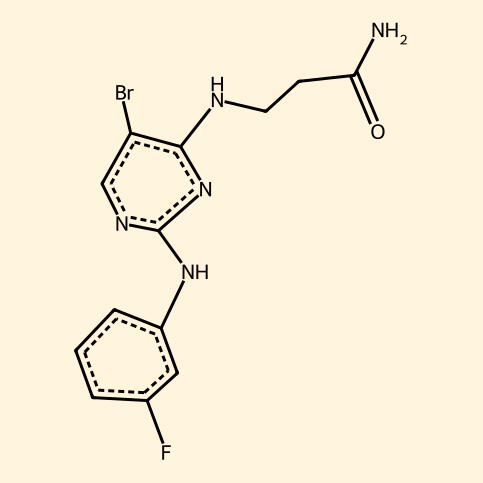 NC(=O)CCNc1nc(Nc2cccc(F)c2)ncc1Br